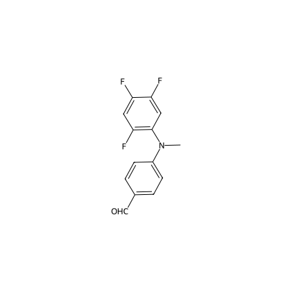 CN(c1ccc(C=O)cc1)c1cc(F)c(F)cc1F